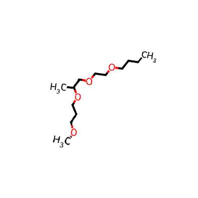 CCCCOCCOCC(C)OCCCOC